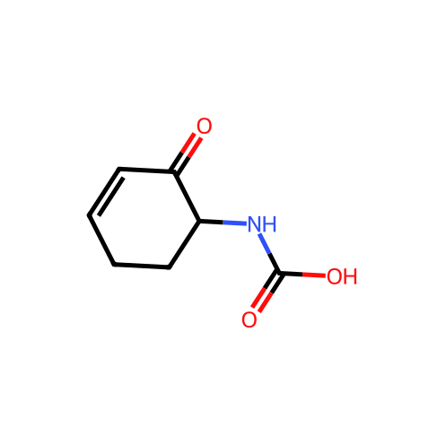 O=C(O)NC1CCC=CC1=O